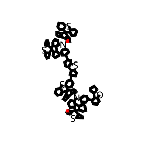 c1ccc2c(c1)Sc1ccccc1C21c2ccccc2-c2c(N(c3ccc(-c4ccc5c(c4)sc4ccc(-c6ccc7c(c6)Sc6ccccc6C76c7ccccc7-c7c(N(c8ccc(-c9cccc%10oc%11ccccc%11c9%10)cc8)c8cccc9c8-c8ccccc8C98c9ccccc9Sc9ccccc98)cccc76)cc45)cc3)c3cccc4c3-c3ccccc3C43c4ccccc4Sc4ccccc43)cccc21